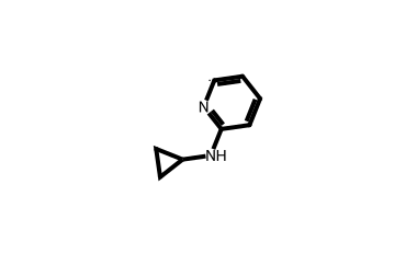 [c]1cccc(NC2CC2)n1